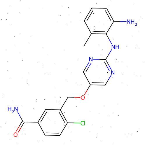 Cc1cccc(N)c1Nc1ncc(OCc2cc(C(N)=O)ccc2Cl)cn1